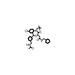 CC(=O)NCc1cccc(C2OC(CC(=O)N(C)Cc3ccccc3)C(=O)N(CC(C)(C)C)c3ccc(Cl)cc32)c1